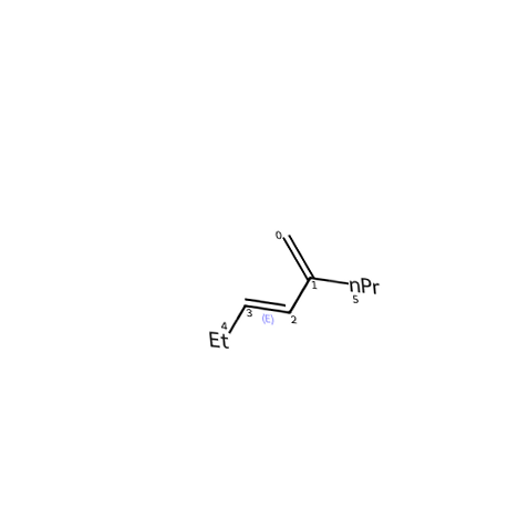 C=C(/C=C/CC)CCC